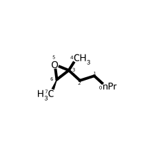 CCCCCC1(C)O[C@@H]1C